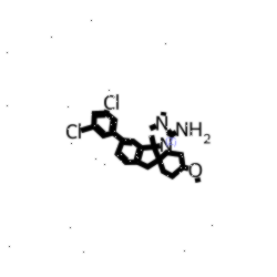 COC1CCC2(CC1)Cc1ccc(-c3cc(Cl)cc(Cl)c3)cc1C2(C)/N=C(/N)N(C)C